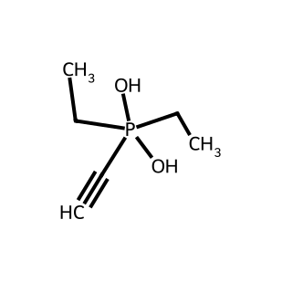 C#CP(O)(O)(CC)CC